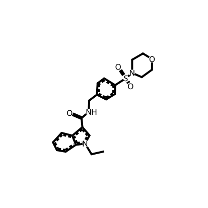 CCn1cc(C(=O)NCc2ccc(S(=O)(=O)N3CCOCC3)cc2)c2ccccc21